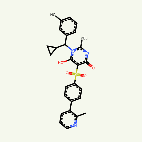 CCCCc1nc(=O)c(S(=O)(=O)c2ccc(-c3cccnc3C)cc2)c(O)n1C(c1cccc(C#N)c1)C1CC1